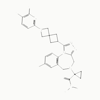 Cc1nc(N2CC3(CC(c4nnc5n4-c4ccc(Cl)cc4CN(C4(C(=O)N(C)C)CC4)C5)C3)C2)ccc1F